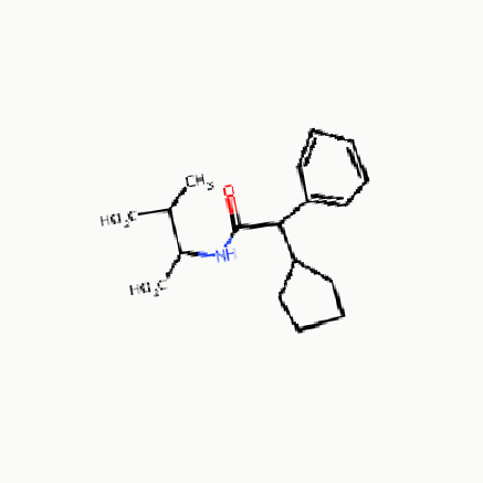 CC(C(=O)O)C(NC(=O)C(c1ccccc1)C1CCCC1)C(=O)O